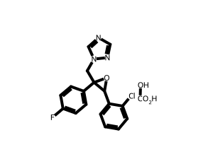 Fc1ccc(C2(Cn3cncn3)OC2c2ccccc2Cl)cc1.O=C(O)O